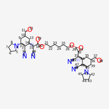 N#CC1=C(N2CCCC2)CC(C=O)C/C1=C(/C#N)C(=O)OCCCCCCOC1OC1/C(C#N)=C1\CC(C=O)CC(N2CCCC2)=C1C#N